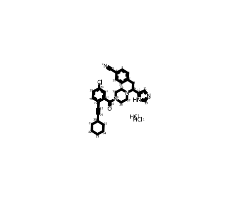 Cl.Cl.N#Cc1ccc(CC(c2cnc[nH]2)N2CCN(C(=O)c3cc(Cl)ccc3C#CC3CCCCC3)CC2)cc1